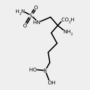 NC(CCCCB(O)O)(CNS(N)(=O)=O)C(=O)O